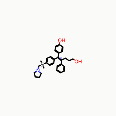 C[Si](C)(CN1CCCC1)c1ccc(/C(=C(/CCCO)c2ccccc2)c2ccc(O)cc2)cc1